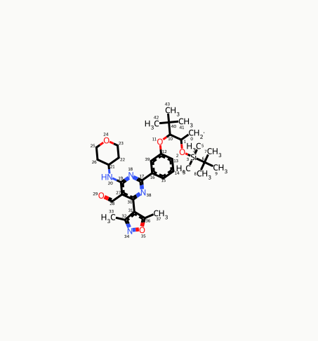 [CH2]C(O[Si](C)(C)C(C)(C)C)C(Oc1cccc(-c2nc(NC3CCOCC3)c(C=O)c(-c3c(C)noc3C)n2)c1)C(C)(C)C